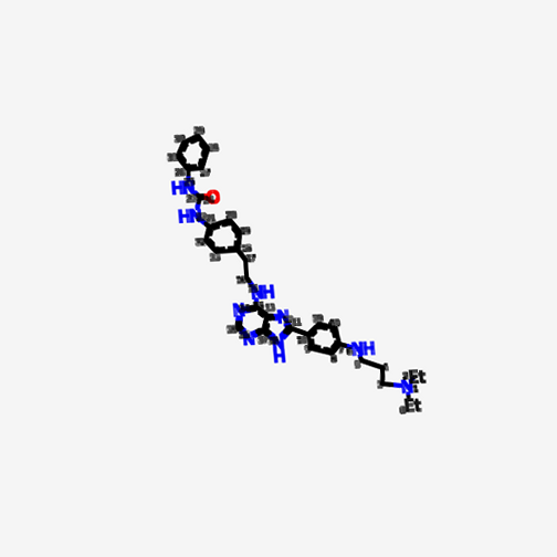 CCN(CC)CCCNc1ccc(-c2nc3c(NCCc4ccc(NC(=O)Nc5ccccc5)cc4)ncnc3[nH]2)cc1